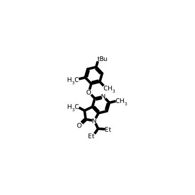 CCC(CC)N1C(=O)C(C)c2c1cc(C)nc2Oc1c(C)cc(C(C)(C)C)cc1C